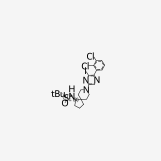 CC(C)(C)[S@@+]([O-])N[C@@H]1CCCC12CCN(c1cnc(-c3cccc(Cl)c3Cl)c(I)n1)CC2